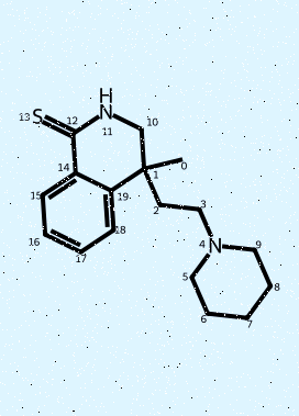 CC1(CCN2CCCCC2)CNC(=S)c2ccccc21